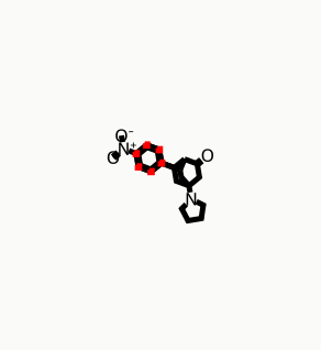 O=C1CC2(N3CCCC3)CC(c3ccccc3)C1C(c1ccc([N+](=O)[O-])cc1)C2